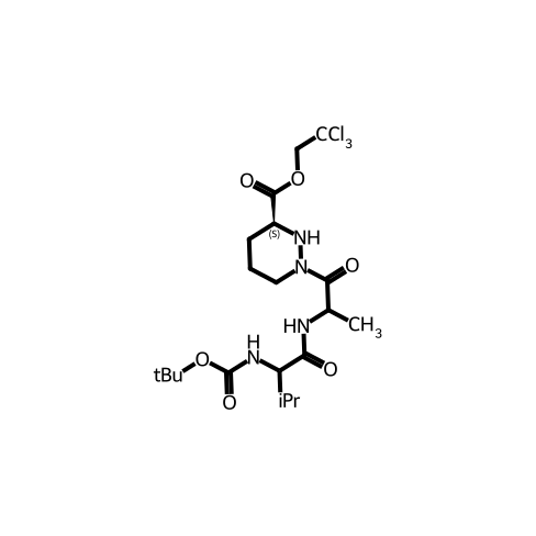 CC(NC(=O)C(NC(=O)OC(C)(C)C)C(C)C)C(=O)N1CCC[C@@H](C(=O)OCC(Cl)(Cl)Cl)N1